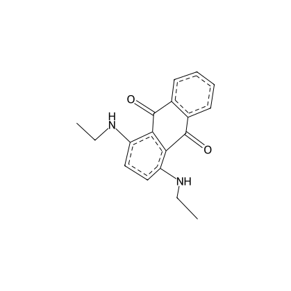 CCNc1ccc(NCC)c2c1C(=O)c1ccccc1C2=O